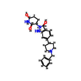 O=C1CCC(n2[nH]c3cc(C4CCN(Cc5ccccc5)CC4)ccc3c2=O)C(=O)N1